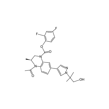 CC(=O)N1c2ccc(-c3cnn(C(C)(C)CO)c3)cc2N(C(=O)Oc2ccc(F)cc2F)C[C@@H]1C